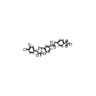 CCN(C(=O)C(C)(C)Oc1ccc(NC(=O)Cc2ccc(S(=O)(=O)CC)cc2)cc1F)c1ccc(Cl)c(F)c1